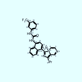 CC(C)C1=C2C=NC=C[N+]2(N)C(c2ccc(NC(=O)Nc3cccc(C(F)(F)F)c3)c3ccccc23)=N1